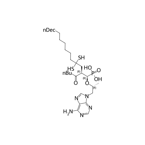 CCCCCCCCCCCCCCCCC(S)(S)C[C@H](C(=O)CCCC)[C@H](O[C@H](C)Cn1cnc2c(N)ncnc21)P(=O)(O)O